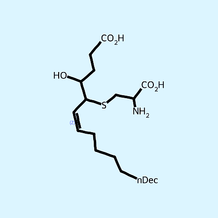 CCCCCCCCCCCCCC/C=C\C(SCC(N)C(=O)O)C(O)CCC(=O)O